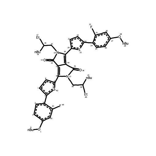 CCCCOc1ccc(-c2ccc(C3=C4C(=O)N(CC(CC)CCCC)C(c5ccc(-c6ccc(OCCCC)cc6F)s5)=C4C(=O)N3CC(CC)CCCC)s2)c(F)c1